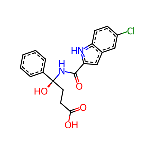 O=C(O)CC[C@@](O)(NC(=O)c1cc2cc(Cl)ccc2[nH]1)c1ccccc1